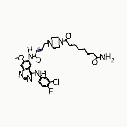 COc1cc2ncnc(Nc3ccc(F)c(Cl)c3)c2cc1NC(=O)/C=C/CN1CCN(C(=O)CCCCCCC(N)=O)CC1